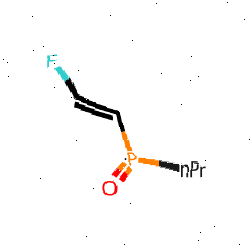 CCC[P](=O)C=CF